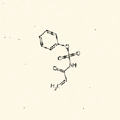 C=CC(=O)NS(=O)(=O)Oc1ccccc1